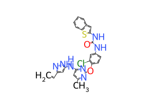 C=Cc1cc(Nc2cc(C)nc(Oc3ccc(NC(=O)Nc4cc5ccccc5s4)cc3Cl)n2)[nH]n1